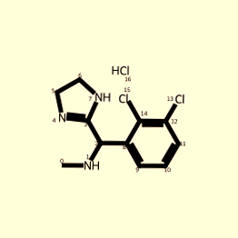 CNC(C1=NCCN1)c1cccc(Cl)c1Cl.Cl